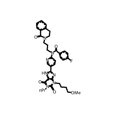 CCCn1c(=O)c2[nH]c(-c3ccc(N(CCCN4CCc5ccccc5C4=O)C(=O)c4ccc(F)cc4)nc3)nc2n(CCCCOC)c1=O